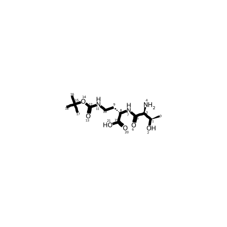 C[C@@H](O)[C@H](N)C(=O)N[C@@H](CCNC(=O)OC(C)(C)C)C(=O)O